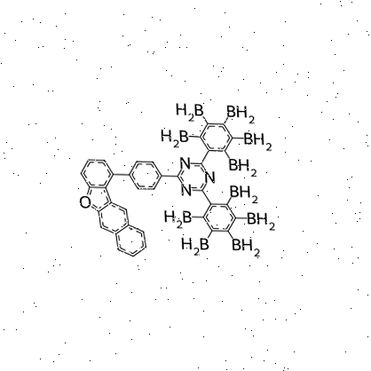 Bc1c(B)c(B)c(-c2nc(-c3ccc(-c4cccc5oc6cc7ccccc7cc6c45)cc3)nc(-c3c(B)c(B)c(B)c(B)c3B)n2)c(B)c1B